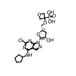 O=P(O)(O)C1(OC[C@@H]2C[C@@H](O)[C@H](n3ncc4c(NC5CCCC5)nc(Cl)nc43)O2)COC1